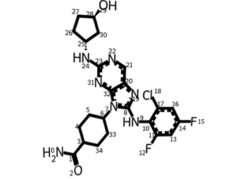 NC(=O)C1CCC(n2c(Nc3c(F)cc(F)cc3Cl)nc3cnc(N[C@@H]4CC[C@@H](O)C4)nc32)CC1